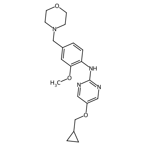 COc1cc(CN2CCOCC2)ccc1Nc1ncc(OCC2CC2)cn1